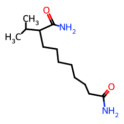 CC(C)C(CCCCCCCC(N)=O)C(N)=O